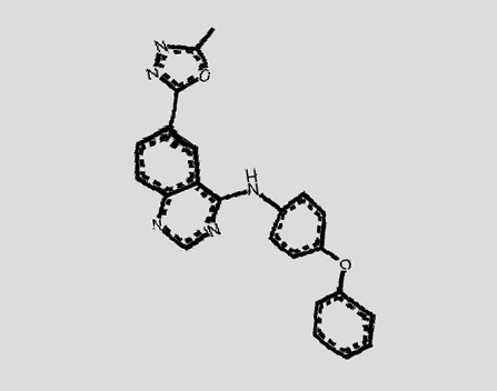 Cc1nnc(-c2ccc3ncnc(Nc4ccc(Oc5ccccc5)cc4)c3c2)o1